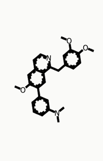 COc1ccc(Cc2nccc3cc(OC)c(-c4cccc(N(C)C)c4)cc23)cc1OC